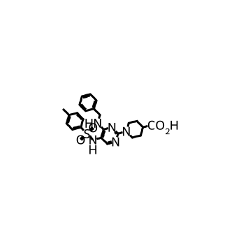 Cc1ccc(S(=O)(=O)Nc2cnc(N3CCC(C(=O)O)CC3)nc2NCc2ccccc2)cc1